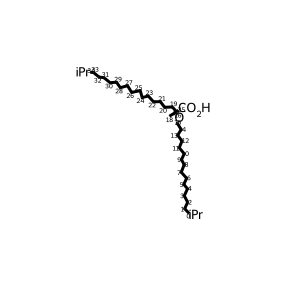 CC(C)CCCCCCCCCCCCCCCOC(C)(CCCCCCCCCCCCCCCC(C)C)C(=O)O